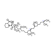 C/C=C(\C)CCC(O)CC(=O)C/C=C(\C)CC(C)CCCC(CC(C)C(O)(OC)C(=O)C(=O)N1CCCCC1C(=O)O)OC